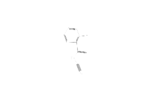 N#CNC(=O)c1ccc[c]c1F